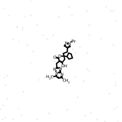 Cc1cc(C)n2nc(CC3=C(O)CC(CCc4cnn(C(C)C)c4)(C4CCCC4)OC3=O)nc2n1